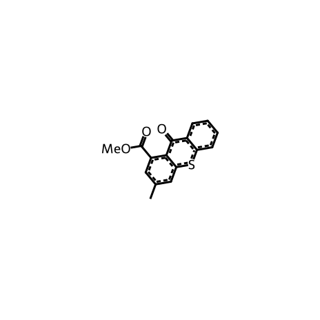 COC(=O)c1cc(C)cc2sc3ccccc3c(=O)c12